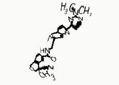 CN(C)c1nccc(-c2ccc3cnc(CNC(=O)c4ccc5c(c4)[C@](C)(C#N)COC5)cc3n2)n1